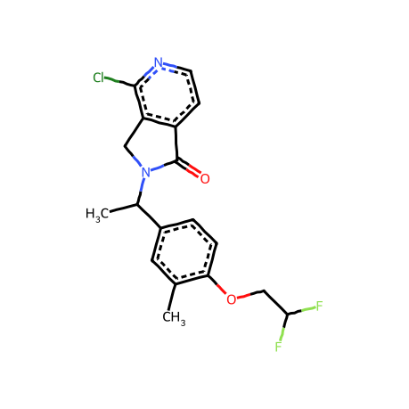 Cc1cc(C(C)N2Cc3c(ccnc3Cl)C2=O)ccc1OCC(F)F